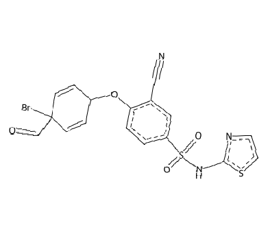 N#Cc1cc(S(=O)(=O)Nc2nccs2)ccc1OC1C=CC(Br)(C=O)C=C1